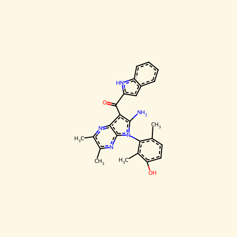 Cc1ccc(O)c(C)c1-n1c(N)c(C(=O)c2cc3ccccc3[nH]2)c2nc(C)c(C)nc21